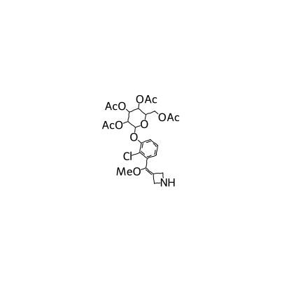 COC(=C1CNC1)c1cccc(OC2OC(COC(C)=O)C(OC(C)=O)C(OC(C)=O)C2OC(C)=O)c1Cl